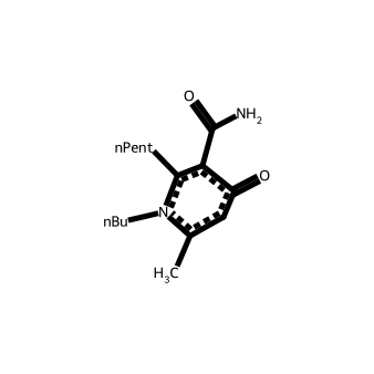 CCCCCc1c(C(N)=O)c(=O)cc(C)n1CCCC